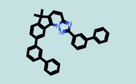 CC1(C)c2ccc(-c3cccc(-c4ccccc4)c3)cc2-c2c1ccc1nc(-c3cccc(-c4ccccc4)c3)nn21